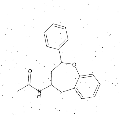 CC(=O)NC1Cc2ccccc2OC(c2ccccc2)C1